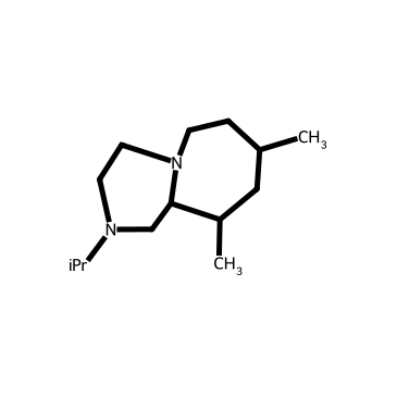 CC1CCN2CCN(C(C)C)CC2C(C)C1